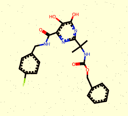 CC(C)(NC(=O)OCc1ccccc1)c1nc(O)c(O)c(C(=O)NCc2ccc(F)cc2)n1